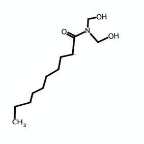 CCCCCCCC[CH]C(=O)N(CO)CO